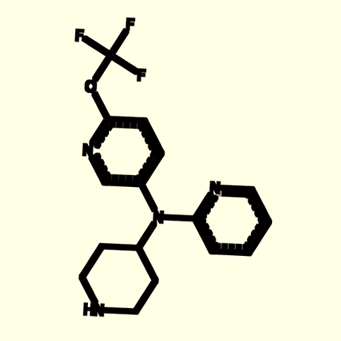 FC(F)(F)Oc1ccc(N(c2ccccn2)C2CCNCC2)cn1